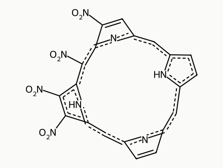 O=[N+]([O-])C1=Cc2cc3ccc(cc4nc(cc5[nH]c(c([N+](=O)[O-])c1n2)c([N+](=O)[O-])c5[N+](=O)[O-])C=C4)[nH]3